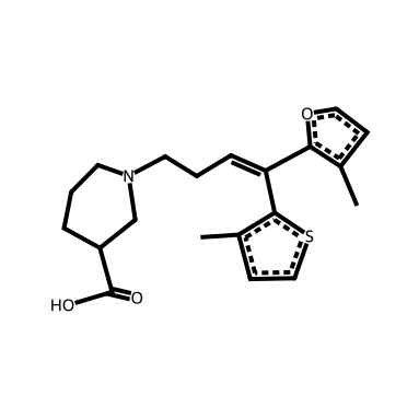 Cc1ccoc1C(=CCCN1CCCC(C(=O)O)C1)c1sccc1C